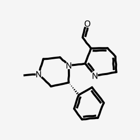 CN1CCN(c2ncccc2C=O)[C@H](c2ccccc2)C1